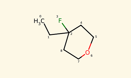 CCC1(F)CCOCC1